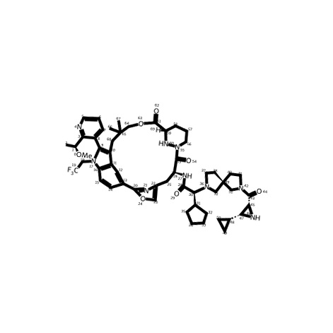 CO[C@@H](C)c1ncccc1-c1c2c3cc(ccc3n1CC(F)(F)F)-c1nc(co1)C[C@H](NC(=O)[C@H](C1CCCC1)N1CC[C@]3(CCN(C(=O)[C@@H]4N[C@@H]4C4CC4)C3)C1)C(=O)N1CCC[C@H](N1)C(=O)OCC(C)(C)C2